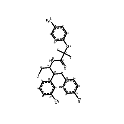 CC(C)(Oc1ccc(C(F)(F)F)cn1)C(=O)NC(CI)C(Cc1ccc(Cl)cn1)c1cccc(C#N)c1